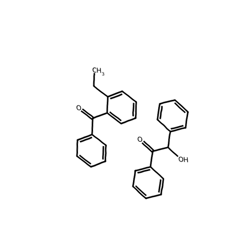 CCc1ccccc1C(=O)c1ccccc1.O=C(c1ccccc1)C(O)c1ccccc1